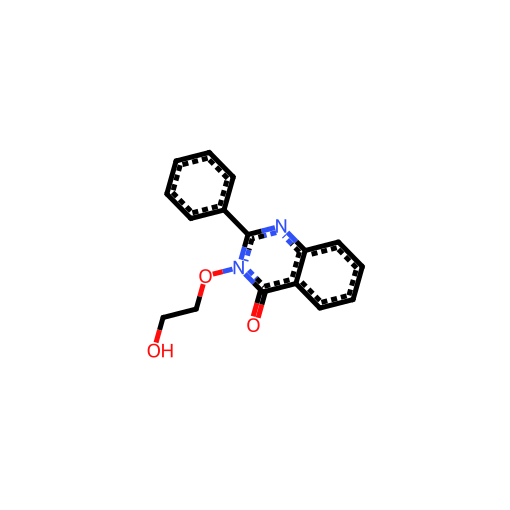 O=c1c2ccccc2nc(-c2ccccc2)n1OCCO